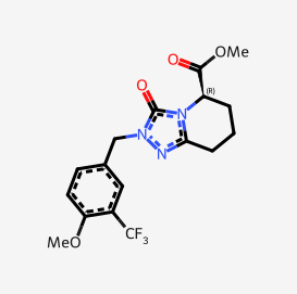 COC(=O)[C@H]1CCCc2nn(Cc3ccc(OC)c(C(F)(F)F)c3)c(=O)n21